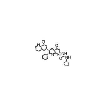 O=C(Nc1cc(=O)c2cc(-c3cc(Cl)c4ncccc4c3)c(-c3ccccc3)nc2[nH]1)NC1CCCC1